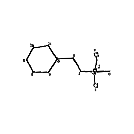 C[Si](Cl)(Cl)CC[C]1CCCCC1